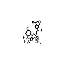 Cc1sc2c(c1C)C(/C1=C/C=C(/Cl)C=CCC1)=N[C@@H](CCNc1ccc3c(c1)COCC3=N)c1nnc(C)n1-2